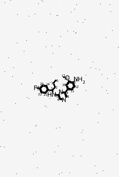 CCCC(Nc1cncc(-c2ccc(N)c(OC)c2)n1)c1ccc(F)cc1